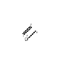 C=C.CCl